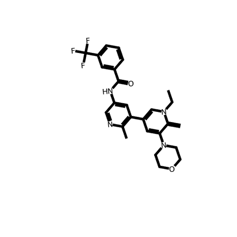 C=C1C(N2CCOCC2)=CC(c2cc(NC(=O)c3cccc(C(F)(F)F)c3)cnc2C)=CN1CC